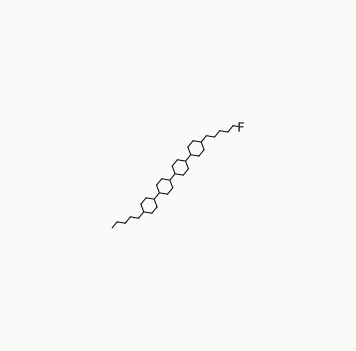 CCCCCC1CCC(C2CCC(C3CCC(C4CCC(CCCCCF)CC4)CC3)CC2)CC1